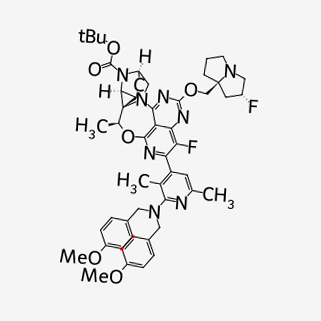 COc1ccc(CN(Cc2ccc(OC)cc2)c2nc(C)cc(-c3nc4c5c(nc(OC[C@@]67CCCN6C[C@H](F)C7)nc5c3F)N3C[C@H]5CC6[C@H](N5C(=O)OC(C)(C)C)[C@]63[C@H](C)O4)c2C)cc1